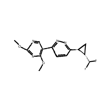 COc1ncc(-c2ccc([C@H]3C[C@@H]3C(F)F)nn2)c(OC)n1